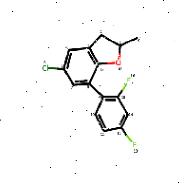 [CH2]C1Cc2cc(Cl)cc(-c3ccc(F)cc3F)c2O1